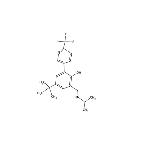 CC(C)NCc1cc(C(C)(C)C)cc(-c2ccc(C(F)(F)F)nc2)c1O